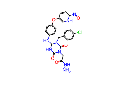 NNC(=O)CN1C(=O)NC(Nc2ccc(OC3=CNC(N=O)C=C3)cc2)N(Cc2ccc(Cl)cc2)C1=O